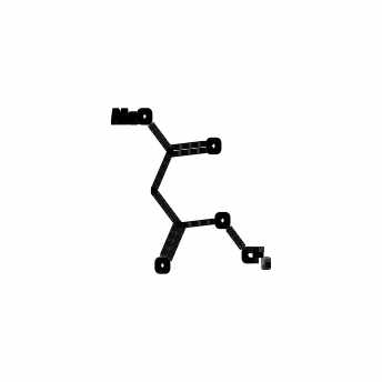 COC(=O)CC(=O)OC(F)(F)F